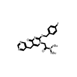 CCCCN(CCCC)C(=O)Cn1cc(Cc2cncnc2)c(=O)nc1SCc1ccc(F)cc1